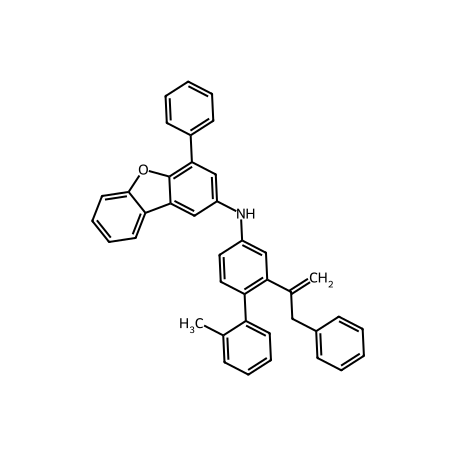 C=C(Cc1ccccc1)c1cc(Nc2cc(-c3ccccc3)c3oc4ccccc4c3c2)ccc1-c1ccccc1C